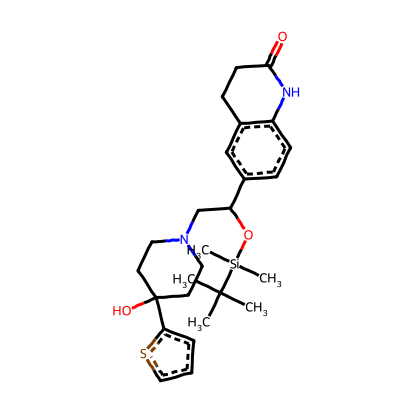 CC(C)(C)[Si](C)(C)OC(CN1CCC(O)(c2cccs2)CC1)c1ccc2c(c1)CCC(=O)N2